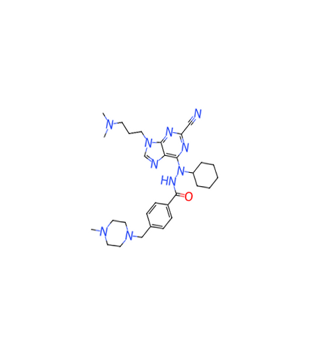 CN(C)CCCn1cnc2c(N(NC(=O)c3ccc(CN4CCN(C)CC4)cc3)C3CCCCC3)nc(C#N)nc21